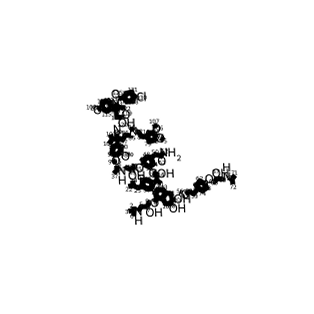 CC(C)(C)NCC(O)COc1cccc2c1C[C@H](O)[C@H](O)C2.CC(C)Cc1ccc(C(C)C(=O)O)cc1.CC(C)NCC(O)COc1ccc(CC(N)=O)cc1.COCCc1ccc(OCC(O)CNC(C)C)cc1.COc1ccc(CCN(C)CCCC(C#N)(c2ccc(OC)c(OC)c2)C(C)C)cc1OC.COc1ccc2c(c1)c(CC(=O)O)c(C)n2C(=O)c1ccc(Cl)cc1